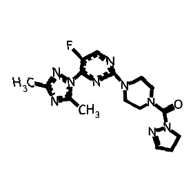 Cc1nc(C)n(-c2nc(N3CCN(C(=O)N4CCC=N4)CC3)ncc2F)n1